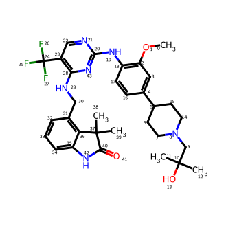 COc1cc(C2CCN(CC(C)(C)O)CC2)ccc1Nc1ncc(C(F)(F)F)c(NCc2cccc3c2C(C)(C)C(=O)N3)n1